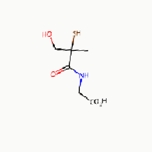 CC(S)(CO)C(=O)NCC(=O)O